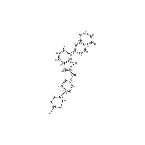 CN1CCN(c2ccc(Nc3nc4c(-c5ccc6nccnc6c5)nccn4n3)cc2)CC1